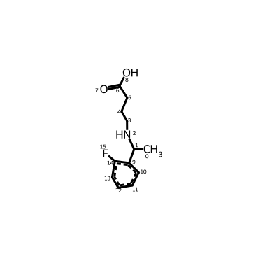 CC(NCCCC(=O)O)c1ccccc1F